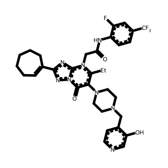 CCc1c(N2CCN(Cc3ccncc3O)CC2)c(=O)n2nc(C3=CCCCCC3)nc2n1CC(=O)Nc1ccc(C(F)(F)F)cc1F